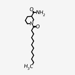 CCCCCCCCCCCC(=O)N1CCCC(C(N)=O)C1